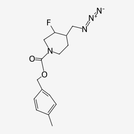 Cc1ccc(COC(=O)N2CCC(CN=[N+]=[N-])C(F)C2)cc1